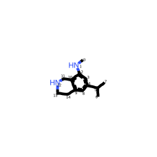 CNc1cc(C(C)C)cc2c1CNCC2